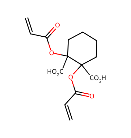 C=CC(=O)OC1(C(=O)O)CCCCC1(OC(=O)C=C)C(=O)O